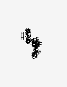 O=C(Nc1cccc(Sc2ccc(C=CC(=O)N3CCOCC3)c(C(F)(F)F)c2C(F)(F)F)c1)NC1CCCC1